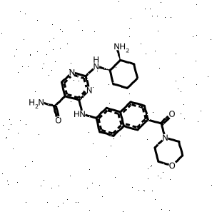 NC(=O)c1cnc(N[C@@H]2CCCC[C@@H]2N)nc1Nc1ccc2cc(C(=O)N3CCOCC3)ccc2c1